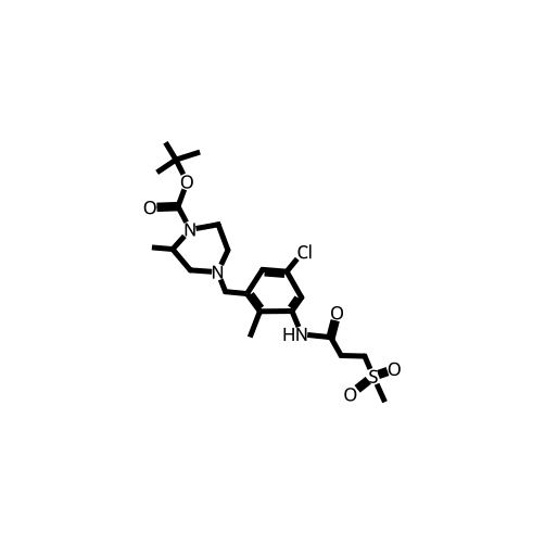 Cc1c(CN2CCN(C(=O)OC(C)(C)C)C(C)C2)cc(Cl)cc1NC(=O)CCS(C)(=O)=O